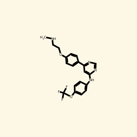 CNCCOc1ccc(-c2cc(Nc3ccc(OC(F)(F)F)cc3)ncn2)cc1